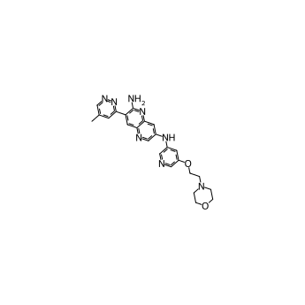 Cc1cnnc(-c2cc3ncc(Nc4cncc(OCCN5CCOCC5)c4)cc3nc2N)c1